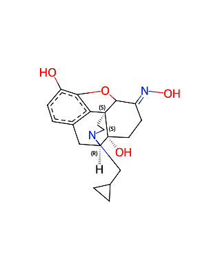 ON=C1CC[C@@]2(O)[C@H]3Cc4ccc(O)c5c4[C@@]2(CCN3CC2CC2)C1O5